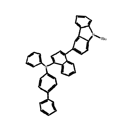 CC(C)(C)n1c2ccccc2c2cc(-c3ccc(N(c4ccccc4)c4ccc(-c5ccccc5)cc4)c4ccccc34)ccc21